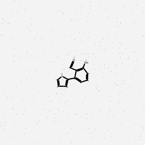 O=Cc1c(O)cccc1-c1cccs1